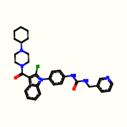 O=C(NCc1cccnc1)Nc1ccc(-n2c(Cl)c(C(=O)N3CCN(C4CCCCC4)CC3)c3ccccc32)cc1